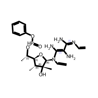 C=C/N=C(N)\C(N)=C(/N)N(C=C)[C@@H]1O[C@H]([C@H](C)O[PH](=O)Oc2ccccc2)[C@@H](C)[C@@]1(C)O